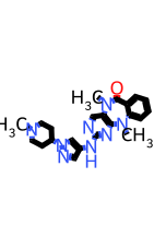 CN1CCC(n2cc(Nc3ncc4c(n3)N(C)c3ccccc3C(=O)N4C)cn2)CC1